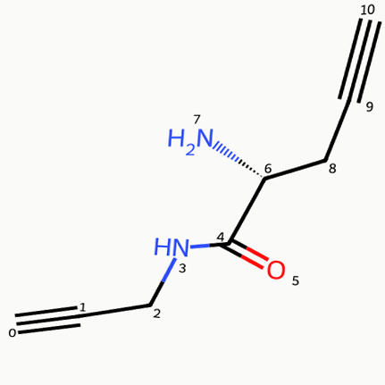 C#CCNC(=O)[C@H](N)CC#C